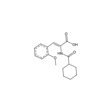 COc1ccccc1C=C(NC(=O)C1CCCCC1)C(=O)O